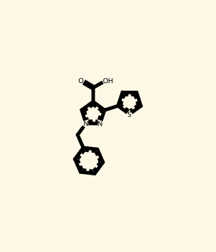 O=C(O)c1cn(Cc2ccccc2)nc1-c1cccs1